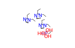 CC[PH](O)(O)O.CCc1nccn1CC.CCc1nccn1CC.CCc1nccn1CC